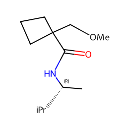 COCC1(C(=O)N[C@H](C)C(C)C)CCC1